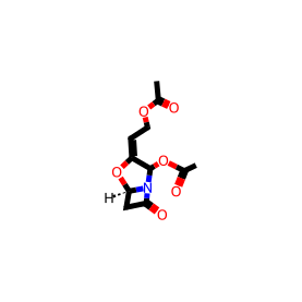 CC(=O)OCC=C1O[C@@H]2CC(=O)N2C1OC(C)=O